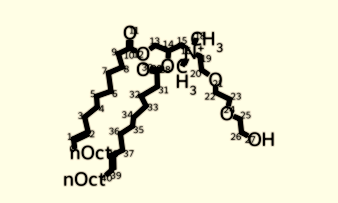 CCCCCCCCC=CCCCCCCCC(=O)OCC(C[N+](C)(C)CCOCCOCCO)OC(=O)CCCCCCCC=CCCCCCCCC